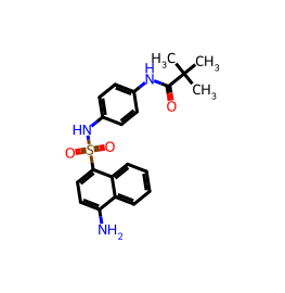 CC(C)(C)C(=O)Nc1ccc(NS(=O)(=O)c2ccc(N)c3ccccc23)cc1